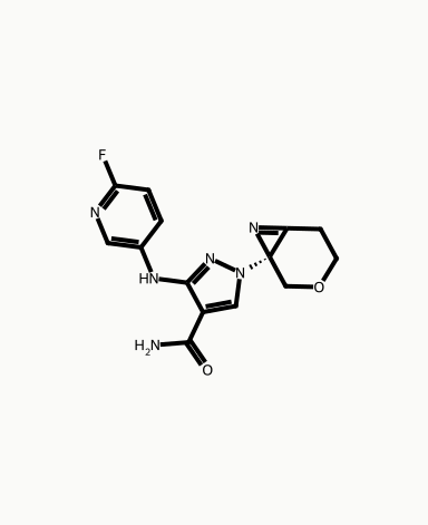 NC(=O)c1cn([C@@]23COCCC2=N3)nc1Nc1ccc(F)nc1